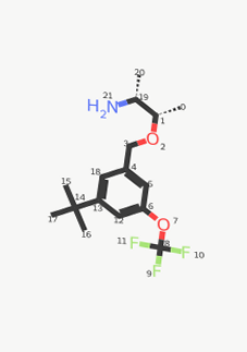 C[C@H](OCc1cc(OC(F)(F)F)cc(C(C)(C)C)c1)[C@@H](C)N